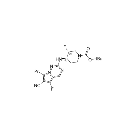 CC(C)c1c(C#N)c(F)c2cnc(N[C@@H]3CCN(C(=O)OC(C)(C)C)C[C@H]3F)nn12